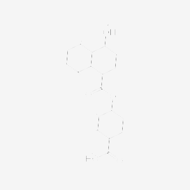 O=C(O)C1CCC(OC(=O)C2CCC(O)C3CCCCC23)CC1